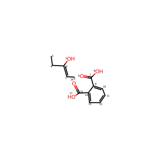 CC=C(O)CC.O=C(O)c1ccccc1C(=O)O